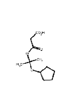 CC(C)(OC(=O)CC(=O)O)OC1CCCC1